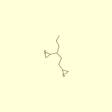 CCCC(CCC1CS1)C1CS1